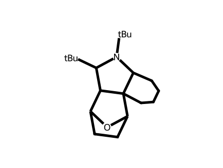 CC(C)(C)C1C2C3CCC(O3)C23CCCCC3N1C(C)(C)C